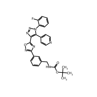 CC(C)(C)OC(=O)NCc1cccc(-c2noc(-c3nnn(-c4ccccc4F)c3-c3ccncc3)n2)c1